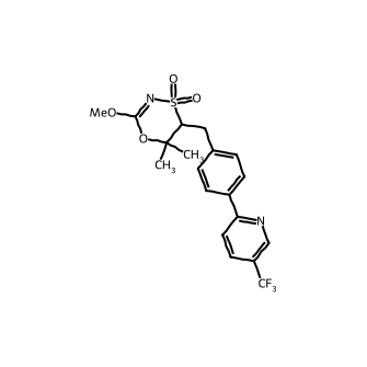 COC1=NS(=O)(=O)C(Cc2ccc(-c3ccc(C(F)(F)F)cn3)cc2)C(C)(C)O1